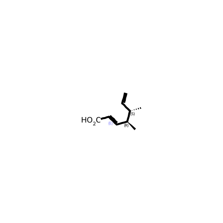 C=C[C@H](C)[C@@H](C)/C=C/C(=O)O